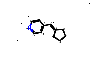 C(=C1CCCC1)c1ccncc1